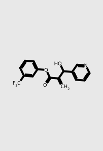 C=C(C(=O)Oc1cccc(C(F)(F)F)c1)C(O)c1cccnc1